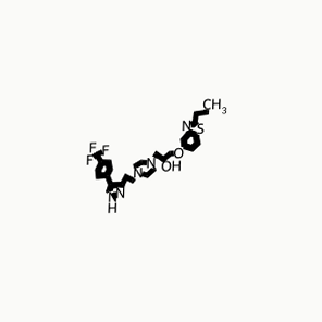 CCCc1nc2cc(OC[C@@H](O)CN3CCN(CCc4n[nH]cc4-c4ccc(C(F)(F)F)cc4)CC3)ccc2s1